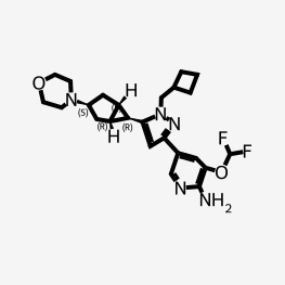 Nc1ncc(-c2cc([C@H]3[C@@H]4C[C@@H](N5CCOCC5)C[C@@H]43)n(CC3CCC3)n2)cc1OC(F)F